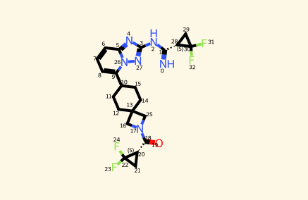 N=C(Nc1nc2cccc(C3CCC4(CC3)CN(C(=O)[C@@H]3CC3(F)F)C4)n2n1)[C@@H]1CC1(F)F